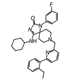 CCc1ccccc1-c1cccc(CN2CCC3(CC2)C(NC2CCCCC2)=NC(=O)N3c2cccc(F)c2)n1